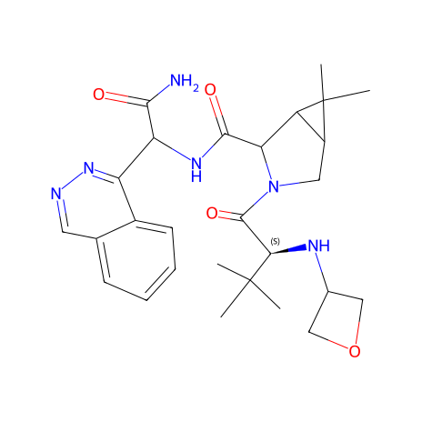 CC1(C)C2CN(C(=O)[C@@H](NC3COC3)C(C)(C)C)C(C(=O)NC(C(N)=O)c3nncc4ccccc34)C21